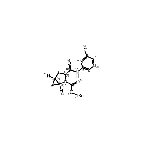 CC(C)(C)OC(=O)N1[C@@H]2C[C@@H]2C[C@H]1C(=O)Nc1cncc(Cl)n1